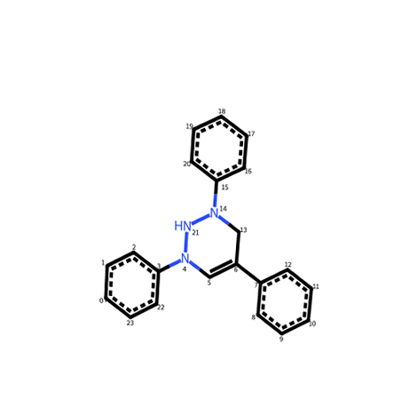 [c]1ccc(N2C=C(c3ccccc3)CN(c3ccccc3)N2)cc1